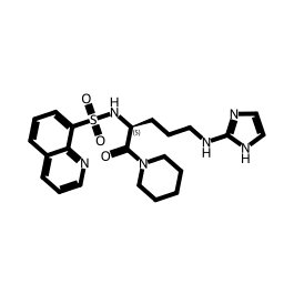 O=C([C@H](CCCNc1ncc[nH]1)NS(=O)(=O)c1cccc2cccnc12)N1CCCCC1